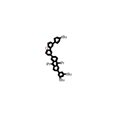 CC(C)c1c2ccc(-c3ccc4oc5ccc(-c6ccc(C(C)(C)C)cc6)cc5c4c3)cc2c(C(C)C)c2ccc(-c3cc(C(C)(C)C)cc(C(C)(C)C)c3)cc12